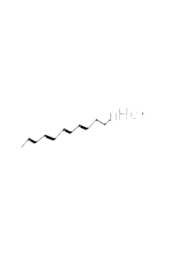 [CH2]C=CC=CC=CC=CCCCCCCCC